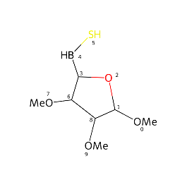 COC1OC(BS)C(OC)C1OC